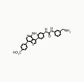 NCc1cccc(NC(=O)Nc2ccc(-c3csc4c(-c5ccc(C(=O)O)cc5)cnc(N)c34)cc2)c1